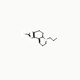 CCCN1CCC=C2c3nc(N)oc3CCC21